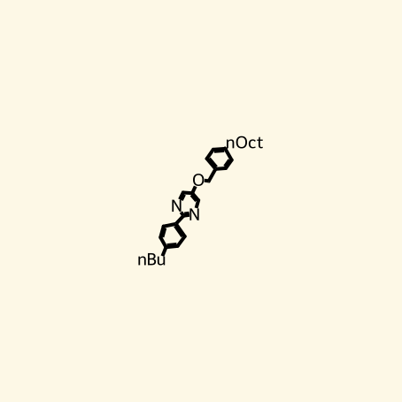 CCCCCCCCc1ccc(COc2cnc(-c3ccc(CCCC)cc3)nc2)cc1